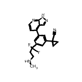 CNCCC(F)(F)c1cc(-c2ccnc3[nH]ncc23)cc(C2(C#N)CC2)c1